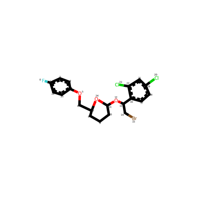 Fc1ccc(OCC2CCCC(OC(CBr)c3ccc(Cl)cc3Cl)O2)cc1